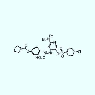 CCN(CC)c1ncc(N(C)S(=O)(=O)c2ccc(Cl)cc2)c(N[C@@H](Cc2ccc(OC(=O)N3CCCC3)cc2)C(=O)O)n1